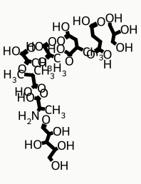 CC(=O)C(=O)O.CC(=O)C(=O)O.CC(C)C(=O)O.CC(CC(=O)O)C(=O)O.CC(N)C(=O)O.O=C(O)CCC(=O)O.O=CC(O)C(O)C(O)CO.OCC(O)CO